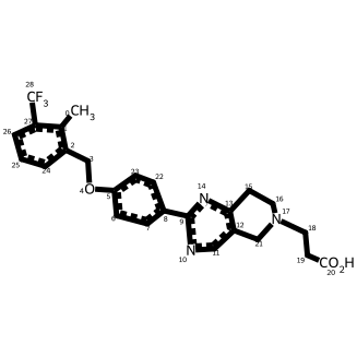 Cc1c(COc2ccc(-c3ncc4c(n3)CCN(CCC(=O)O)C4)cc2)cccc1C(F)(F)F